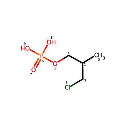 CC(CCl)COP(=O)(O)O